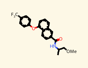 COCC(C)NC(=O)c1ccc2c(Oc3ccc(C(F)(F)F)cc3)cccc2c1